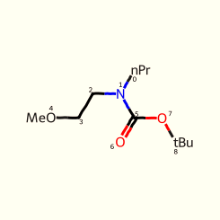 CCCN(CCOC)C(=O)OC(C)(C)C